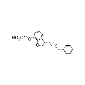 O=C(O)COc1cccc2c1OCC2CCSCc1ccccc1